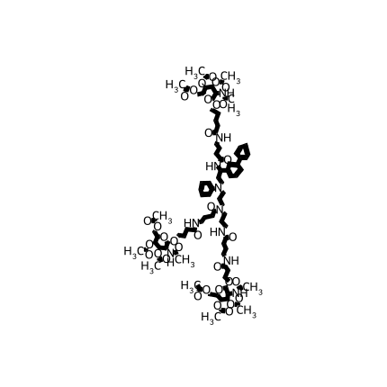 CC(=O)NC1[C@H](OCCCCC(=O)NCCCC(=O)NC(CCN(CCCN(CCCNC(=O)CCCNC(=O)CCO[C@@H]2OC(COC(C)=O)[C@H](OC(C)=O)[C@H](OC(C)=O)C2NC(C)=O)C(=O)CCCNC(=O)CCCO[C@@H]2OC(COC(C)=O)[C@H](OC(C)=O)[C@H](OC(C)=O)C2NC(C)=O)c2ccccc2)c2cccc(-c3ccccc3)c2)OC(COC(C)=O)[C@H](OC(C)=O)[C@@H]1OC(C)=O